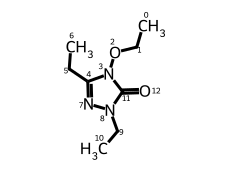 CCOn1c(CC)nn(CC)c1=O